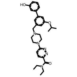 CCN(CC)C(=O)c1ccc(N2CCN(Cc3cc(OC(C)C)cc(-c4cccc(O)c4)c3)CC2)nn1